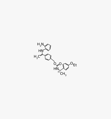 C=C(Nc1ccccc1N)c1ccc(COC(=O)N[C@@H](C)c2ccc(OCC)cc2)cc1